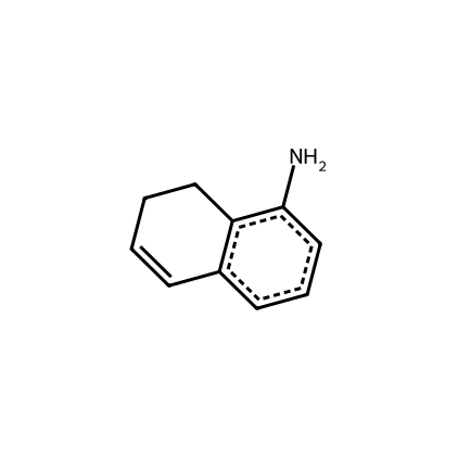 Nc1cccc2c1CCC=C2